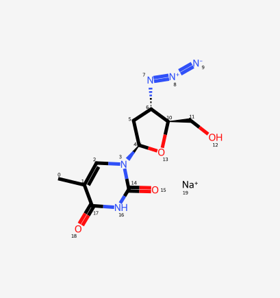 Cc1cn([C@H]2C[C@H](N=[N+]=[N-])[C@@H](CO)O2)c(=O)[nH]c1=O.[Na+]